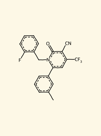 Cc1cccc(-c2cc(C(F)(F)F)c(C#N)c(=O)n2Cc2ccccc2F)c1